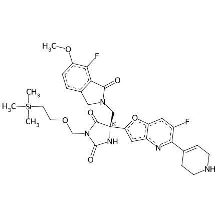 COc1ccc2c(c1F)C(=O)N(C[C@@]1(c3cc4nc(C5=CCNCC5)c(F)cc4o3)NC(=O)N(COCC[Si](C)(C)C)C1=O)C2